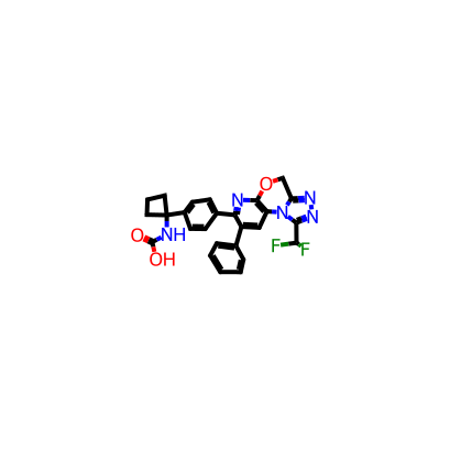 O=C(O)NC1(c2ccc(-c3nc4c(cc3-c3ccccc3)-n3c(nnc3C(F)F)CO4)cc2)CCC1